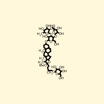 COC1(CCC(C)COC2OC(CO)C(O)C(O)C2O)OC2CC3C4CC=C5CC(OC6OC(CO)C(OC7OC(CO)C(O)C7O)C(OC7OC(C)C(O)C(O)C7O)C6O)CCC5(C)C4CCC3(C)C2C1C